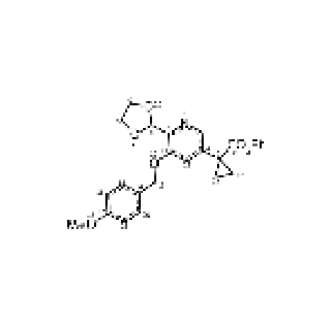 CCOC(=O)C1(c2cnc(C3OCCO3)c(OCc3ccc(OC)cc3)c2)CC1